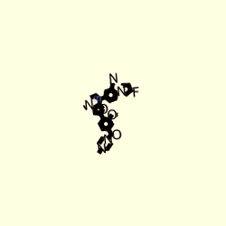 C=Nc1cc(-c2ccc(C(=O)N3CCN(C)CC3)cc2OC)oc1/C(=C\C)c1ccc(N2CC[C@H](F)C2)c(C#N)c1